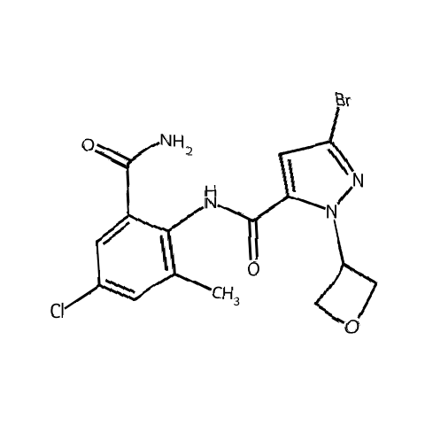 Cc1cc(Cl)cc(C(N)=O)c1NC(=O)c1cc(Br)nn1C1COC1